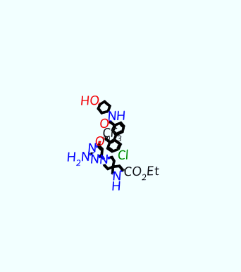 CCOC(=O)C1CC2(CCN(c3cc(O[C@H](c4ccc(Cl)cc4-c4cccc(C(=O)NC5CCC(O)CC5)c4)C(F)(F)F)nc(N)n3)CC2)CN1